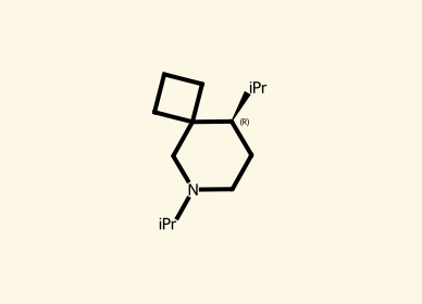 CC(C)[C@H]1CCN(C(C)C)CC12CCC2